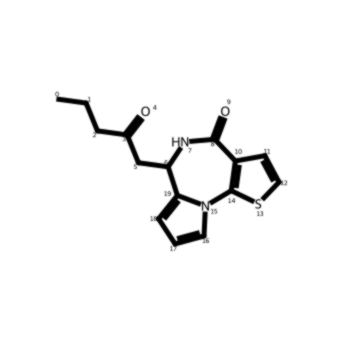 CCCC(=O)CC1NC(=O)c2ccsc2-n2cccc21